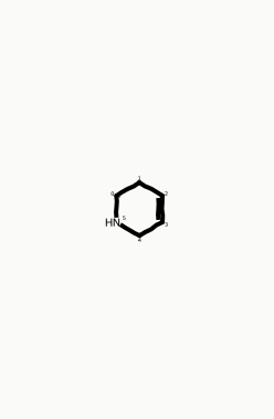 [C]1CC=CCN1